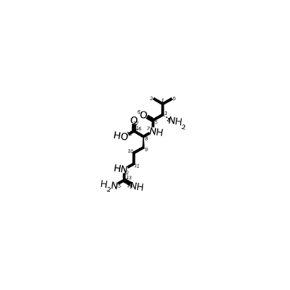 CC(C)[C@H](N)C(=O)N[C@@H](CCCNC(=N)N)C(=O)O